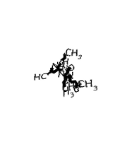 C#Cc1cnc(OCCCC)c(-c2nc3c(CC)n(CCN(C)C)nc3c(=O)[nH]2)c1